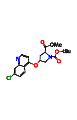 COC(=O)C1CC(Oc2ccnc3cc(Cl)ccc23)CN1C(=O)OC(C)(C)C